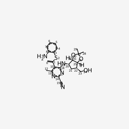 C=C(Sc1ccccc1N)c1c(C)nc(C#N)nc1N[C@@H]1C[C@H](CO)[C@H]2OC(C)(C)O[C@H]21